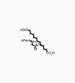 CCCCCCCCCCCCCCCCCCCCCC(=O)O.CCCCCNCN(C)CC